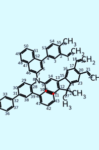 C=Cc1cc(-c2cc(N(c3ccc4c(c3)-c3cc(C=C)c(C=C)cc3C4(C)C)c3ccc(-c4ccccc4)cc3-c3ccccc3)cc3ccccc23)ccc1C